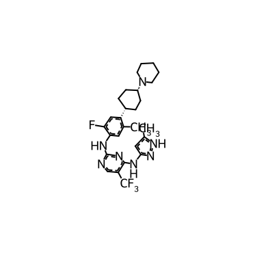 Cc1cc(Nc2nc(Nc3cc(C)c([C@H]4CC[C@@H](N5CCCCC5)CC4)cc3F)ncc2C(F)(F)F)n[nH]1